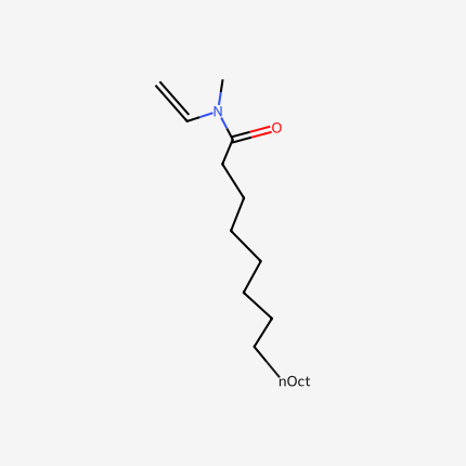 C=CN(C)C(=O)CCCCCCCCCCCCCCC